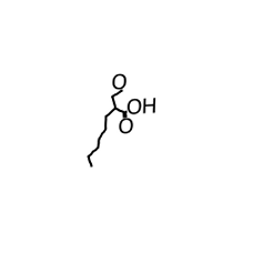 CCCCCCC(CC=O)C(=O)O